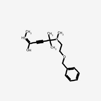 C[SH]=C(O)C#CC(C)(C)N(C)CCOCc1ccccc1